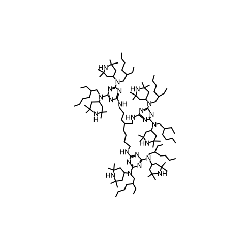 CCCCC(CC)CN(c1nc(NCCCCC(CCCNc2nc(N(CC(CC)CCCC)C3CC(C)(C)NC(C)(C)C3)nc(N(CC(CC)CCCC)C3CC(C)(C)NC(C)(C)C3)n2)CNc2nc(N(CC(CC)CCCC)C3CC(C)(C)NC(C)(C)C3)nc(N(CC(CC)CCCC)C3CC(C)(C)NC(C)(C)C3)n2)nc(N(CC(CC)CCCC)C2CC(C)(C)NC(C)(C)C2)n1)C1CC(C)(C)NC(C)(C)C1